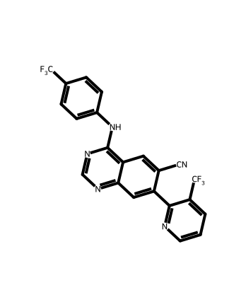 N#Cc1cc2c(Nc3ccc(C(F)(F)F)cc3)ncnc2cc1-c1ncccc1C(F)(F)F